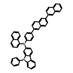 c1ccc(-n2c3ccccc3c3ccc(N(c4ccc(-c5ccc6cc(-c7ccc8ccccc8c7)ccc6c5)cc4)c4cccc5ccccc45)cc32)cc1